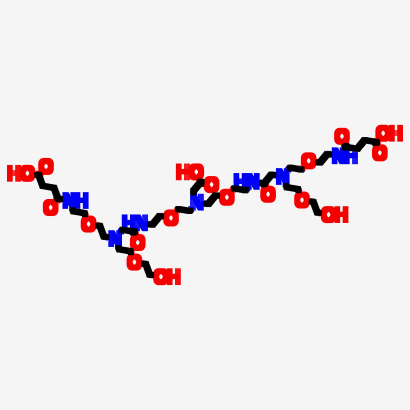 O=C(O)CCC(=O)NCCOCCN(CCOCCO)CC(=O)NCCOCCN(CCOCCNC(=O)CN(CCOCCO)CCOCCNC(=O)CCC(=O)O)CC(=O)O